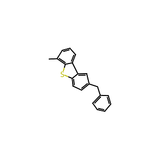 Cc1cccc2c1sc1ccc(Cc3ccccc3)cc12